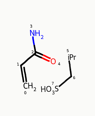 C=CC(N)=O.CC(C)CS(=O)(=O)O